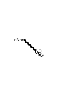 C=C=NC(=O)OCCCCCCCCCCCCCCCCCC